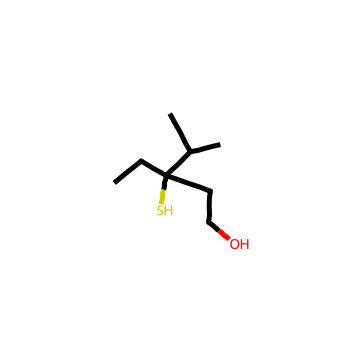 CCC(S)(CCO)C(C)C